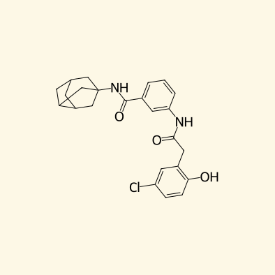 O=C(Cc1cc(Cl)ccc1O)Nc1cccc(C(=O)NC23CC4CC(C2)C(C4)C3)c1